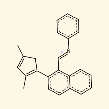 CC1=CC(C)=C(c2ccc3ccccc3c2/C=N/c2ccccc2)C1